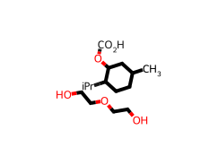 CC1CCC(C(C)C)C(OC(=O)O)C1.OCCOCCO